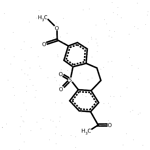 COC(=O)c1ccc2c(c1)S(=O)(=O)c1ccc(C(C)=O)cc1CC2